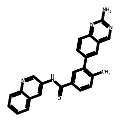 Cc1ccc(C(=O)Nc2cnc3ccccc3c2)cc1-c1ccc2nc(N)ncc2c1